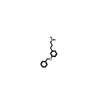 CN(C)CCCc1cccc(OCc2ccccc2)c1